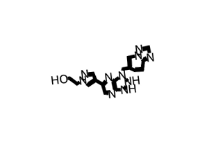 OCCn1cc(-c2cnc3c(n2)N(Cc2ccc4ncnn4c2)NN3)cn1